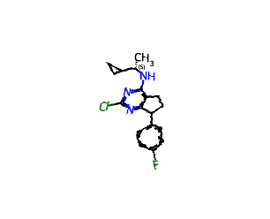 C[C@H](Nc1nc(Cl)nc2c1CCC2c1ccc(F)cc1)C1CC1